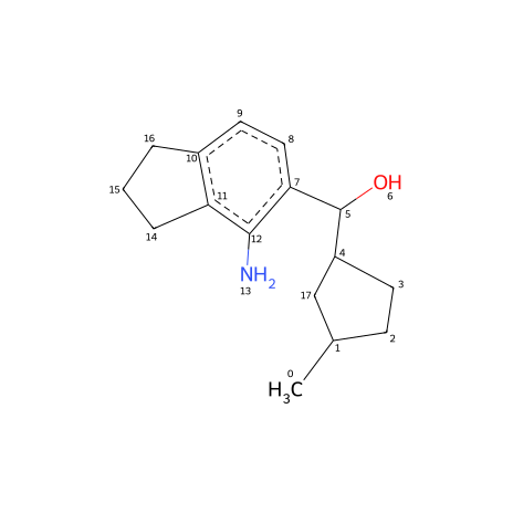 CC1CCC(C(O)c2ccc3c(c2N)CCC3)C1